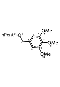 [CH2]CCCCOCc1cc(OC)c(OC)c(OC)c1